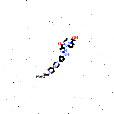 C=CCn1c(=O)c2cnc(Nc3ccc(N4CCN(C5CCN(CC(=O)OC)CC5)CC4)cc3)nc2n1-c1cccc(C(C)(C)O)n1